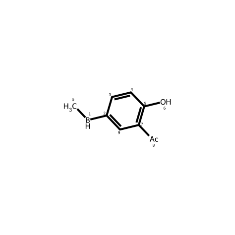 CBc1ccc(O)c(C(C)=O)c1